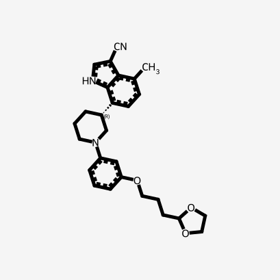 Cc1ccc([C@H]2CCCN(c3cccc(OCCCC4OCCO4)c3)C2)c2[nH]cc(C#N)c12